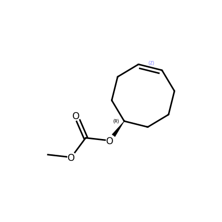 COC(=O)O[C@H]1CC/C=C\CCC1